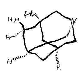 N[C@H]1[C@@H]2C[C@@H]3C[C@@H]1C[N@@](C2)C3